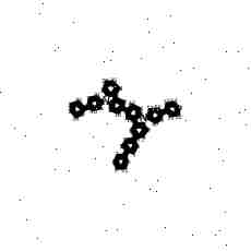 c1ccc(-c2ccc(-c3ccc4c(c3)c3cc(-c5ccc6c(c5)c5ccccc5n6-c5ccc(-c6ccccc6)cc5)ccc3n4-c3ccc(-c4ccccc4)cc3)cc2)cc1